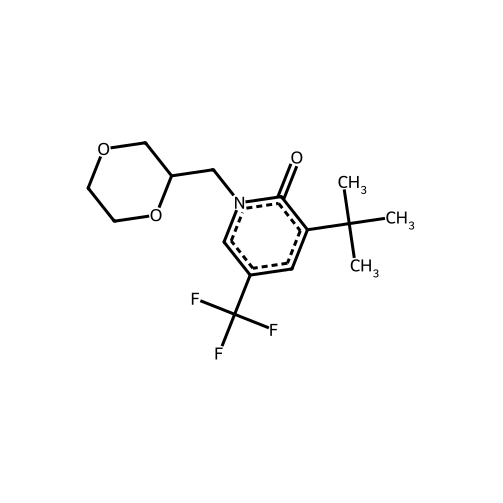 CC(C)(C)c1cc(C(F)(F)F)cn(CC2COCCO2)c1=O